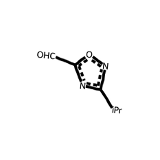 CC(C)c1noc(C=O)n1